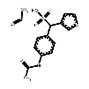 CC(=O)Nc1ccc(C(c2ccsc2)S(=O)(=O)O)cc1.NC=O